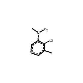 Cc1cccc(N(C)C(C)C)c1Cl